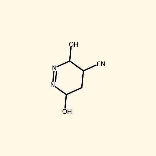 N#CC1CC(O)N=NC1O